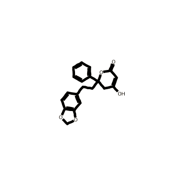 O=C1C=C(O)CC(CCc2ccc3c(c2)OCO3)(c2ccccc2)O1